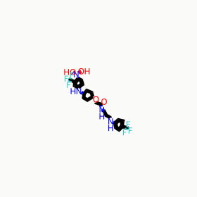 O=C(COC1CCC(Nc2ccc(N(O)O)c(C(F)(F)F)c2)CC1)NCCCNc1ccc(C(F)(F)F)cc1